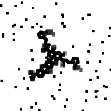 CN1CCCC1CCNC(=O)c1cn2c3cc4oc5cc([N+](=O)[O-])ccc5[nH]c4cc3oc3c(NCCC4CCCN4C)c(F)cc(c1=O)c32